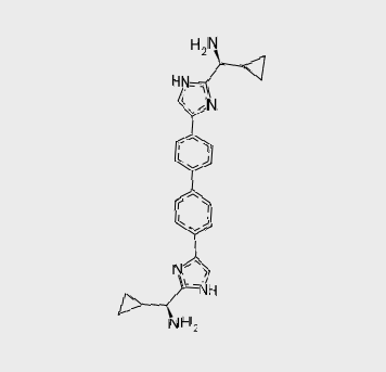 N[C@H](c1nc(-c2ccc(-c3ccc(-c4c[nH]c([C@@H](N)C5CC5)n4)cc3)cc2)c[nH]1)C1CC1